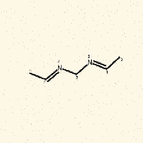 CC=NCN=CC